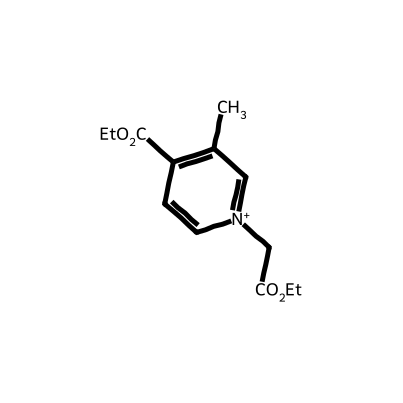 CCOC(=O)C[n+]1ccc(C(=O)OCC)c(C)c1